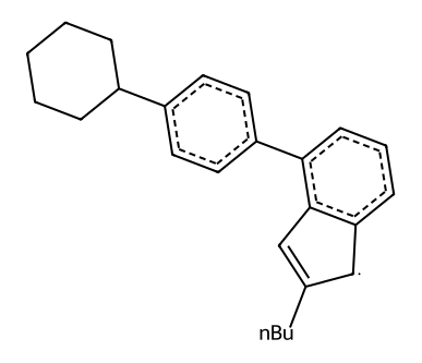 CCCCC1=Cc2c(cccc2-c2ccc(C3CCCCC3)cc2)[CH]1